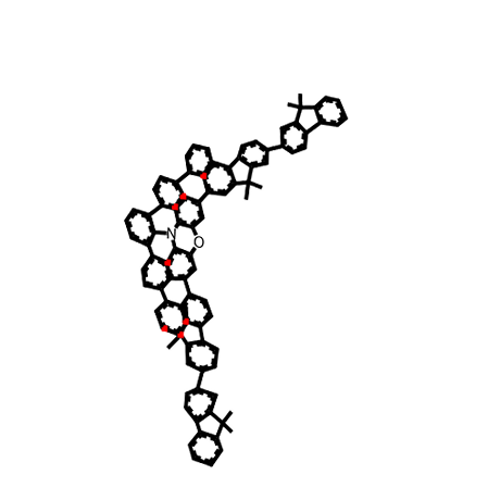 CC1(C)c2ccccc2-c2ccc(-c3ccc4c(c3)C(C)(C)c3cc(-c5ccc6c(c5)Oc5cc(-c7ccc8c(c7)C(C)(C)c7cc(-c9ccc%10c(c9)C(C)(C)c9ccccc9-%10)ccc7-8)ccc5N6c5c(-c6ccc(-c7ccccc7)cc6)cccc5-c5ccc(-c6ccccc6)cc5)ccc3-4)cc21